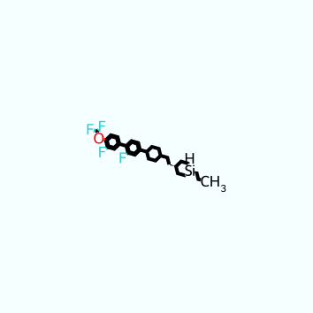 CCC[Si@H]1CC[C@H](CCC2CCC(c3ccc(-c4ccc(OC(F)F)c(F)c4)c(F)c3)CC2)CC1